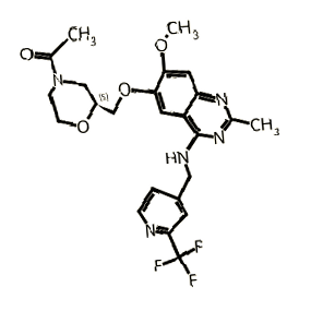 COc1cc2nc(C)nc(NCc3ccnc(C(F)(F)F)c3)c2cc1OC[C@@H]1CN(C(C)=O)CCO1